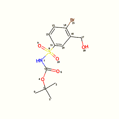 CC(C)(C)OC(=O)NS(=O)(=O)c1ccc(Br)c(CO)c1